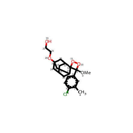 COC1(c2ccc(Cl)c(C)c2)OOC12C1CC3CC2CC(OCCO)(C3)C1